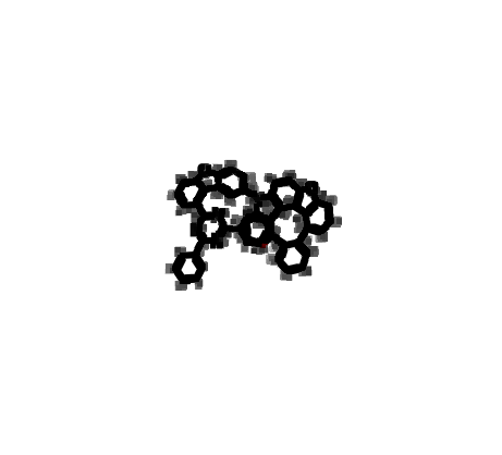 c1ccc(-c2nc(-c3ccccc3)nc(-c3cccc4oc5ccc(-n6c7cccc8c9ccccc9c9cccc%10oc%11ccc6c(c%11c%109)c87)cc5c34)n2)cc1